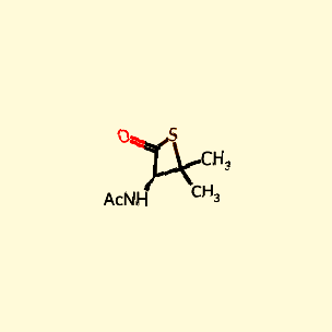 CC(=O)N[C@H]1C(=O)SC1(C)C